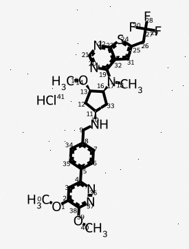 COc1cc(-c2ccc(CN[C@H]3C[C@@H](OC)[C@@H](N(C)c4ncnc5sc(CC(F)(F)F)cc45)C3)cc2)nnc1OC.Cl